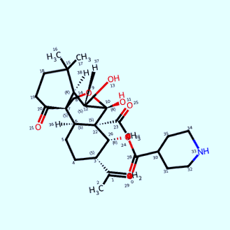 C=C(C)[C@@H]1CC[C@H]2[C@@]34CO[C@@](O)([C@@H](O)[C@@H]3C(C)(C)CCC4=O)[C@@]2(C(C)=O)[C@@H]1OC(=O)C1CCNCC1